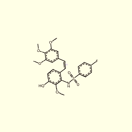 COc1cc(/C=C\c2ccc(O)c(OC)c2NS(=O)(=O)c2ccc(F)cc2)cc(OC)c1OC